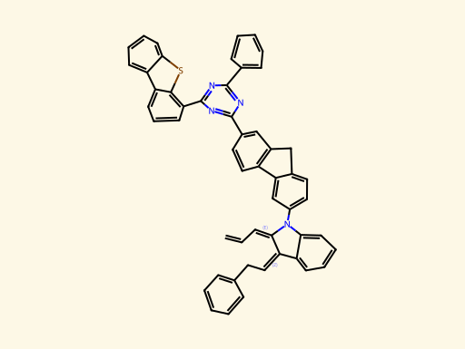 C=C/C=c1\c(=C/Cc2ccccc2)c2ccccc2n1-c1ccc2c(c1)-c1ccc(-c3nc(-c4ccccc4)nc(-c4cccc5c4sc4ccccc45)n3)cc1C2